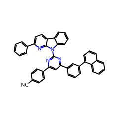 N#Cc1ccc(-c2cc(-c3cccc(-c4cccc5ccccc45)c3)nc(-n3c4ccccc4c4ccc(-c5ccccc5)nc43)n2)cc1